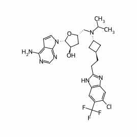 CC(C)N(C[C@@H]1C[C@@H](O)[C@H](n2ccc3c(N)ncnc32)O1)[C@H]1C[C@H](CCc2nc3cc(Cl)c(C(F)(F)F)cc3[nH]2)C1